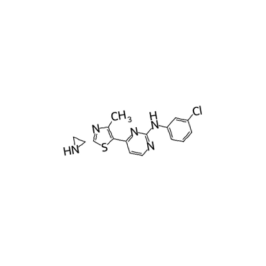 C1CN1.Cc1ncsc1-c1ccnc(Nc2cccc(Cl)c2)n1